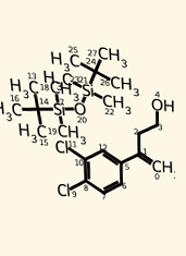 C=C(CCO)c1ccc(Cl)c(Cl)c1.CC(C)(C)[Si](C)(C)O[Si](C)(C)C(C)(C)C